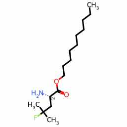 CCCCCCCCCCOC(=O)[C@@H](N)CC(C)(C)F